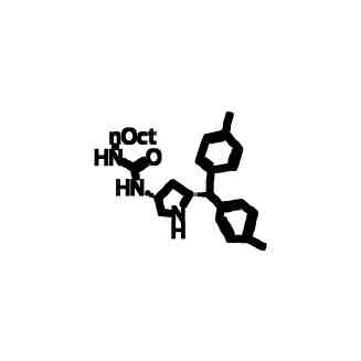 CCCCCCCCNC(=O)N[C@H]1CN[C@@H](C(c2ccc(C)cc2)c2ccc(C)cc2)C1